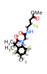 COC(=O)C[C@H](F)CNC(=O)CN1C(=O)C(C)(C)c2c(F)c(C(F)(F)F)cc(F)c21